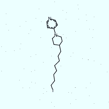 ICCCCCCCCC1CCN(c2ccncc2)CC1